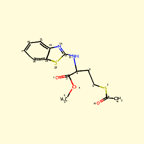 COC(=O)C(CCSC(C)=O)Nc1nc2ccccc2s1